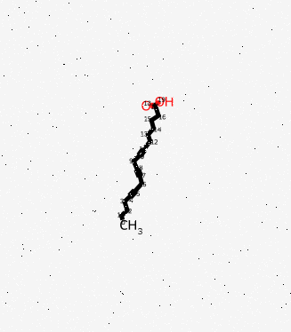 CCCCC#CCC#CCC#CCCCCCC(=O)O